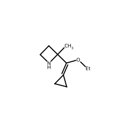 CCOC(=C1CC1)C1(C)CCN1